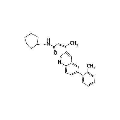 C/C(=C/C(=O)NCC1CCCCC1)c1cnc2ccc(-c3ccccc3C)cc2c1